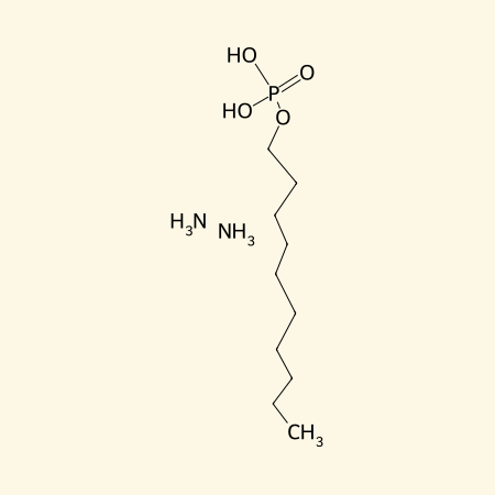 CCCCCCCCCCOP(=O)(O)O.N.N